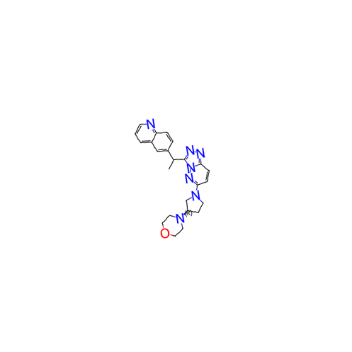 CC(c1ccc2ncccc2c1)c1nnc2ccc(N3CC[C@@H](N4CCOCC4)C3)nn12